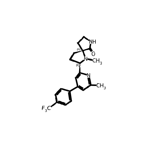 Cc1cc(-c2ccc(C(F)(F)F)cc2)cc([C@H]2CC[C@]3(CCNC3=O)N2C)n1